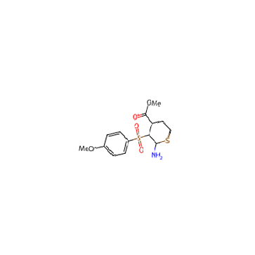 COC(=O)C1CCSC(N)C1S(=O)(=O)c1ccc(OC)cc1